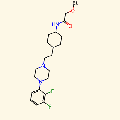 CCOCC(=O)NC1CCC(CCN2CCN(c3cccc(F)c3F)CC2)CC1